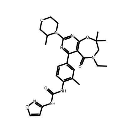 CCN1CC(C)(C)Oc2nc(N3CCOCC3C)nc(-c3ccc(NC(=O)Nc4ccon4)c(C)c3)c2C1=O